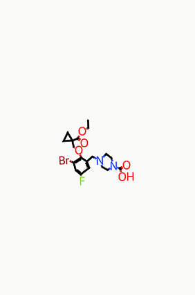 CCOC(=O)C1(COc2c(Br)cc(F)cc2CN2CCN(C(=O)O)CC2)CC1